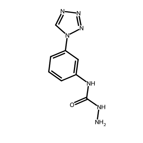 NNC(=O)Nc1cccc(-n2cnnn2)c1